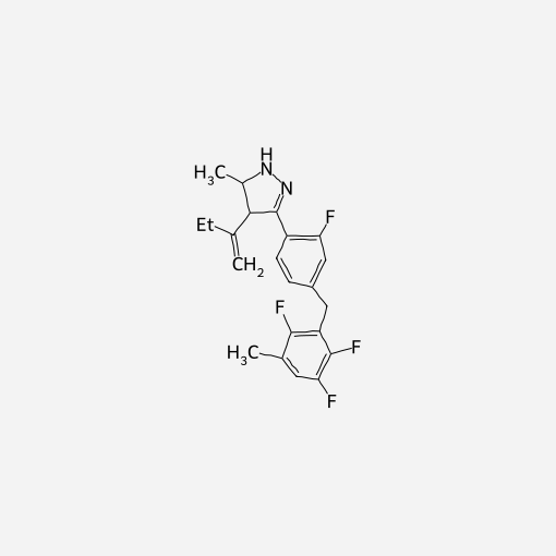 C=C(CC)C1C(c2ccc(Cc3c(F)c(C)cc(F)c3F)cc2F)=NNC1C